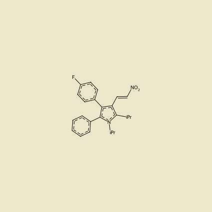 CC(C)c1c(C=C[N+](=O)[O-])c(-c2ccc(F)cc2)c(-c2ccccc2)n1C(C)C